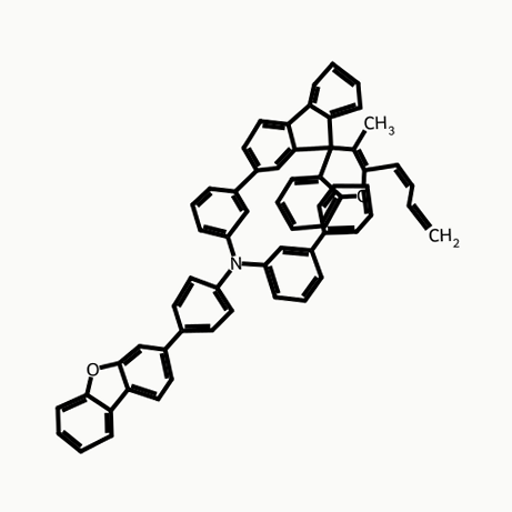 C=C/C=C\C1=C(C)C2(c3ccccc3O1)c1ccccc1-c1ccc(-c3cccc(N(c4ccc(-c5ccc6c(c5)oc5ccccc56)cc4)c4cccc(-c5ccccc5)c4)c3)cc12